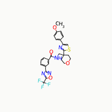 COc1ccc(-c2csc(C3(CNC(=O)c4cccc(-c5noc(C(F)(F)F)n5)c4)CCOCC3)n2)cc1